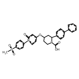 CS(=O)(=O)c1ccc(-n2ccc(OC3CCN(C(=O)O)C(c4ccc(-c5ccccc5)cc4)C3)cc2=O)cc1